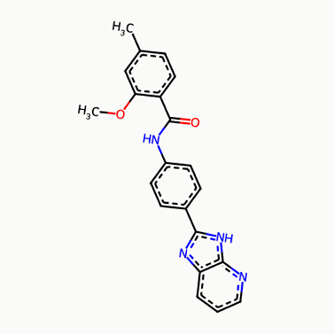 COc1cc(C)ccc1C(=O)Nc1ccc(-c2nc3cccnc3[nH]2)cc1